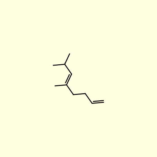 C=CCCC(C)=C[C](C)C